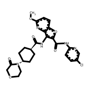 COc1ccc2oc(C(=O)Nc3ccc(Cl)cn3)c(NC(=O)[C@H]3CC[C@H](N4CCOCC4=O)CC3)c2n1